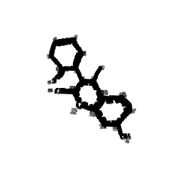 Cc1c(C2=CC=CCC2=S)c(=O)oc2cc(O)ccc12